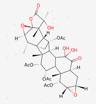 CC(=O)O[C@H]1C2C([C@@H]3[C@@]4(OC(C)=O)C[C@@]5([C@H](C)[C@H]6O[C@]67OC(=O)[C@@](C)(O)[C@]7(C)[C@H]45)[C@@]3(C)[C@H]1OC(C)=O)C(O)(O)C(=O)[C@H]1C[C@@H]3O[C@@H]3[C@H](OC(C)=O)[C@]21C